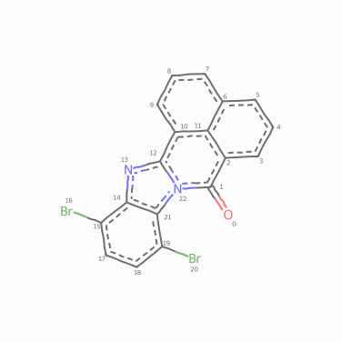 O=c1c2cccc3cccc(c32)c2nc3c(Br)ccc(Br)c3n12